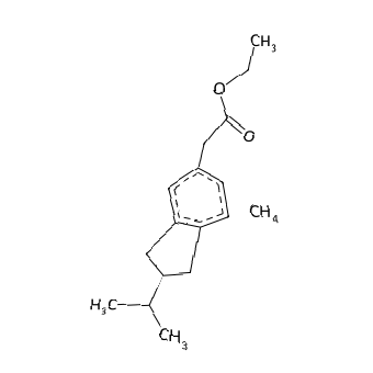 C.CCOC(=O)Cc1ccc2c(c1)CC(C(C)C)C2